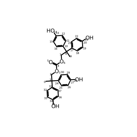 CC(COC(=O)OCC(C)(c1ccc(O)cc1)c1ccc(O)cc1)(c1ccc(O)cc1)c1ccc(O)cc1